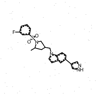 CC1CC(Cn2ccc3cc(-c4cn[nH]c4)ccc32)CN1S(=O)(=O)c1cccc(F)c1